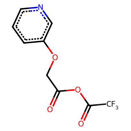 O=C(COc1cccnc1)OC(=O)C(F)(F)F